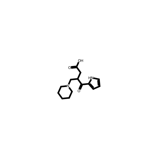 O=C(O)CC(CN1CCCCC1)C(=O)c1ccc[nH]1